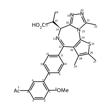 COc1ccc(C(C)=O)cc1-c1ccc(C2=N[C@@H](C(C)C(=O)O)c3nnc(C)n3-c3sc(C)c(C)c32)cc1